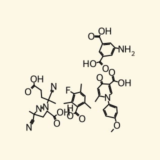 CC(C#N)(CCC(=O)O)N=NC(C)(C#N)CCC(=O)O.COc1ccc(-n2cc(C(=O)O)c(=O)cc2C)cc1.Cc1cc(C)c(C(=O)O)c(C)c1F.Nc1cc(C(=O)O)cc(C(=O)O)c1